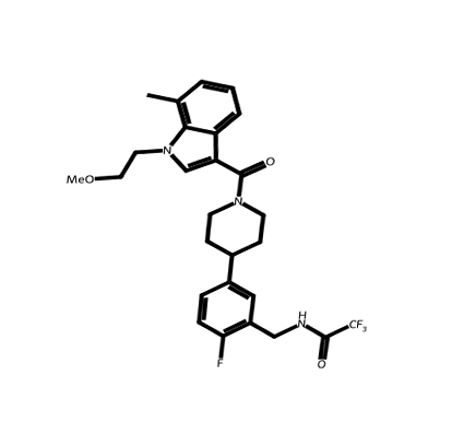 COCCn1cc(C(=O)N2CCC(c3ccc(F)c(CNC(=O)C(F)(F)F)c3)CC2)c2cccc(C)c21